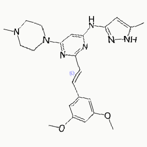 COc1cc(/C=C/c2nc(Nc3cc(C)[nH]n3)cc(N3CCN(C)CC3)n2)cc(OC)c1